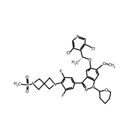 COc1cc2c(cc1O[C@H](C)c1c(Cl)cncc1Cl)c(-c1cc(F)c(N3CC4(C3)CN(S(C)(=O)=O)C4)c(F)c1)nn2C1CCCCO1